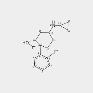 OCC1(c2ccccc2F)CCC(NC2CC2)CC1